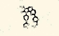 COc1ncc(-c2ccc3ncc4c(c3n2)n(C2CCN(C(=O)CN)CC2)c(=O)n4C)cn1